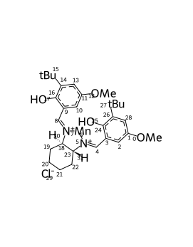 COc1cc(C=[N+]2[Mn][N+](=Cc3cc(OC)cc(C(C)(C)C)c3O)[C@@H]3CCCC[C@H]32)c(O)c(C(C)(C)C)c1.[Cl-]